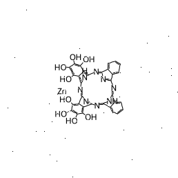 Oc1c(O)c(O)c2c(c1O)-c1nc-2nc2[nH]c(nc3nc(nc4[nH]c(n1)c1ccccc41)-c1ccccc1-3)c1c(O)c(O)c(O)c(O)c21.[Zn]